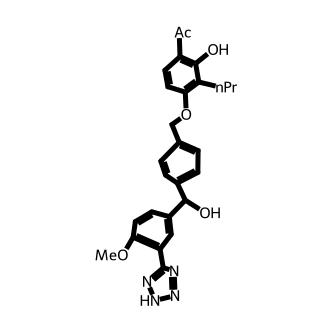 CCCc1c(OCc2ccc(C(O)c3ccc(OC)c(-c4nn[nH]n4)c3)cc2)ccc(C(C)=O)c1O